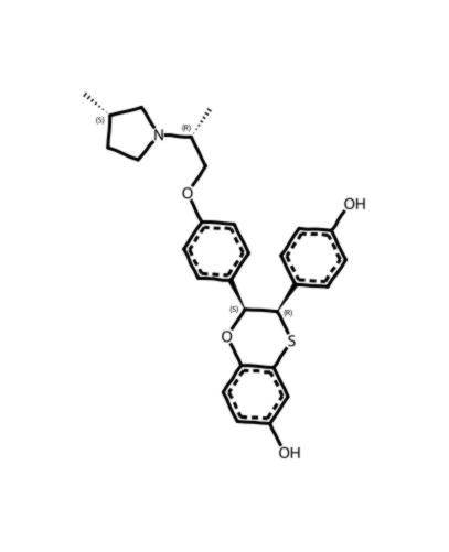 C[C@H]1CCN([C@H](C)COc2ccc([C@@H]3Oc4ccc(O)cc4S[C@@H]3c3ccc(O)cc3)cc2)C1